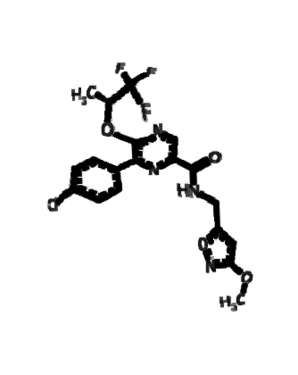 COc1cc(CNC(=O)c2cnc(O[C@@H](C)C(F)(F)F)c(-c3ccc(Cl)cc3)n2)on1